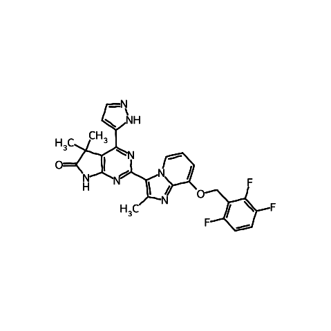 Cc1nc2c(OCc3c(F)ccc(F)c3F)cccn2c1-c1nc2c(c(-c3ccn[nH]3)n1)C(C)(C)C(=O)N2